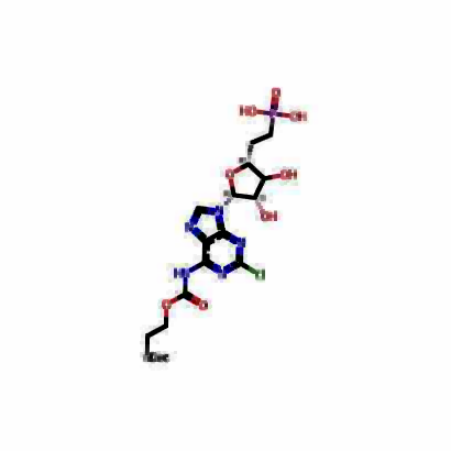 CCCCCCCCCCCCOC(=O)Nc1nc(Cl)nc2c1ncn2[C@@H]1O[C@H](CCP(=O)(O)O)C(O)[C@@H]1O